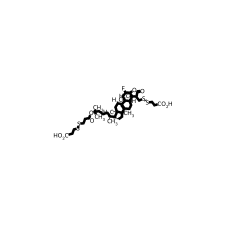 C[C@H](CCCC(C)(C)OC(=O)CCSSCCC(=O)O)[C@H]1CC[C@@]2(C)C3=C(CC[C@]12C)[C@@]1(C)CC(F)C2OC(=O)C(CSSCCC(=O)O)C2(C)[C@@H]1CC3